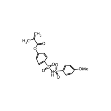 C=C(C)C(=O)Oc1ccc(S(=O)(=O)NS(=O)(=O)c2ccc(OC)cc2)cc1